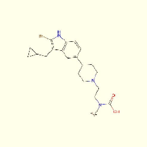 CN(CCN1CCC(c2ccc3[nH]c(Br)c(CC4CC4)c3c2)CC1)C(=O)O